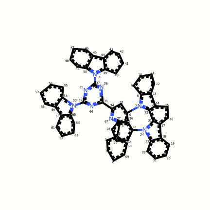 c1ccc(-c2cc(-n3c4ccccc4c4ccc5c6ccccc6n(-c6ccccc6)c5c43)cc(-c3nc(-n4c5ccccc5c5ccccc54)nc(-n4c5ccccc5c5ccccc54)n3)n2)cc1